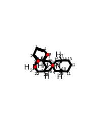 Nc1ccccc1N[C@H]1C[C@H]2CCC[C@@H](C1)N2[C@H]1C[C@@H]2CCC[C@@H](C2)C1